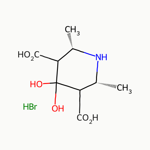 Br.C[C@@H]1N[C@H](C)C(C(=O)O)C(O)(O)C1C(=O)O